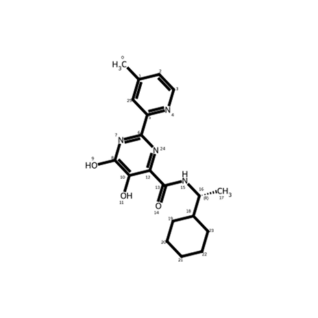 Cc1ccnc(-c2nc(O)c(O)c(C(=O)N[C@H](C)C3CCCCC3)n2)c1